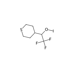 FC(F)(F)C(OI)C1CCSCC1